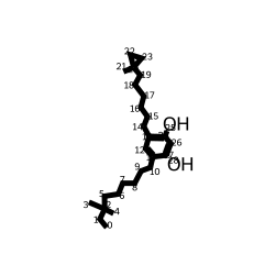 CCC(C)(C)CCCCCCc1cc(CCCCCCC2(C)CC2)c(O)cc1O